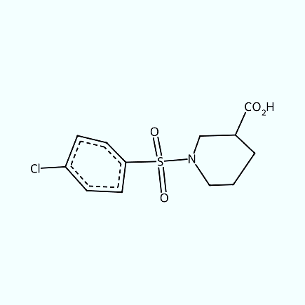 O=C(O)C1CCCN(S(=O)(=O)c2ccc(Cl)cc2)C1